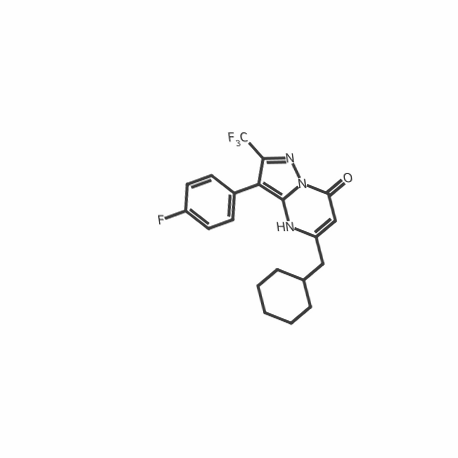 O=c1cc(CC2CCCCC2)[nH]c2c(-c3ccc(F)cc3)c(C(F)(F)F)nn12